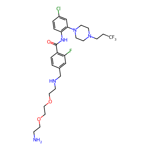 NCCOCCOCCNCc1ccc(C(=O)Nc2ccc(Cl)cc2N2CCN(CCC(F)(F)F)CC2)c(F)c1